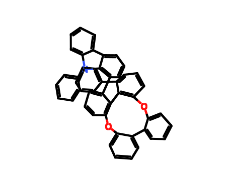 c1ccc(-c2cccc3c2-c2c(cccc2-c2cccc4c5ccccc5n(-c5ccccc5)c24)Oc2ccccc2-c2ccccc2O3)cc1